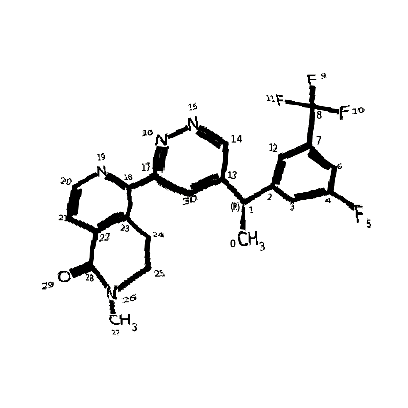 C[C@H](c1cc(F)cc(C(F)(F)F)c1)c1cnnc(-c2nccc3c2CCN(C)C3=O)c1